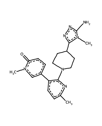 Cc1ccc(-c2ccc(=O)n(C)c2)c(N2CCC(c3nnc(N)n3C)CC2)n1